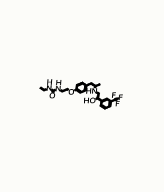 CCNC(=O)NCCOc1ccc(CC(C)NCC(O)c2cccc(C(F)(F)F)c2)cc1